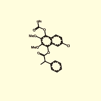 CCCC(=O)Oc1c(OC)c(OC)c(OC(=O)C(C)c2ccccc2)c2cc(Cl)ccc12